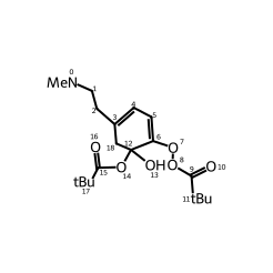 CNCCC1=CC=C(OOC(=O)C(C)(C)C)C(O)(OC(=O)C(C)(C)C)C1